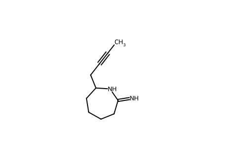 CC#CCC1CCCCC(=N)N1